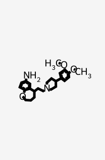 COc1ccc(C2CCN(CCC3CCCOc4ccc(N)cc43)CC2)cc1OC